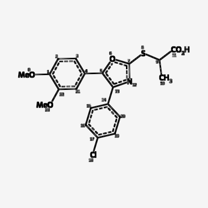 COc1ccc(-c2oc(SC(C)C(=O)O)nc2-c2ccc(Cl)cc2)cc1OC